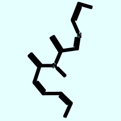 C=C(/C=C\C=C/C)N(C)C(=C)/C=N\C=C/C